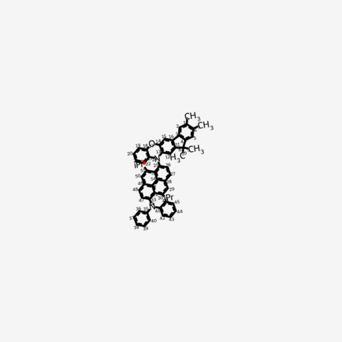 Cc1cc2c(cc1C)C(C)(C)c1cc3c(cc1-2)Oc1ccccc1N3c1ccc2cc(C(C)C)c3c(N(c4ccccc4)c4ccccc4)ccc4cc(C(C)C)c1c2c43